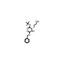 CC(C)(C)OC(=O)[C@H](CCCO)NC(=O)OCc1ccccc1